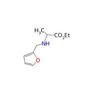 CCOC(=O)C(C)NCc1ccco1